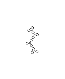 c1ccc(N(c2ccc(-c3ccc(N(c4ccccc4)c4ccc(-n5c6ccccc6c6ccccc65)cc4)cc3)cc2)c2ccc(-c3ccc4c(c3)c3ccccc3n4-c3ccccc3)cc2)cc1